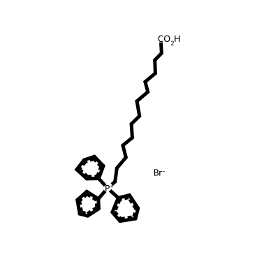 O=C(O)CCCCCCCCCCCCC[P+](c1ccccc1)(c1ccccc1)c1ccccc1.[Br-]